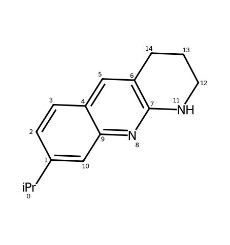 CC(C)c1ccc2cc3c(nc2c1)NCCC3